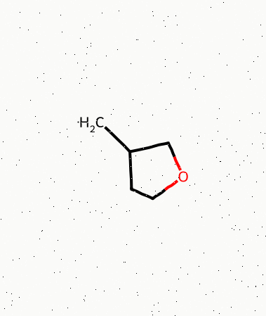 [CH2]C1CCOC1